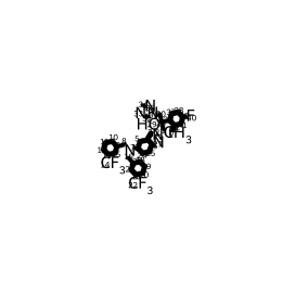 C[C@@H](n1cc2cc(N(Cc3cccc(C(F)(F)F)c3)Cc3cccc(C(F)(F)F)c3)ccc2n1)[C@](O)(Cn1cncn1)c1ccc(F)cc1F